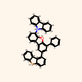 c1ccc(-c2cc(-c3cccc4sc5ccccc5c34)cc3c2oc2c(-n4c5ccccc5c5ccccc54)cccc23)cc1